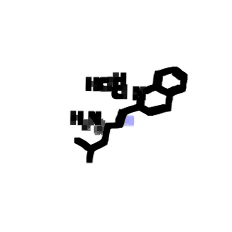 CC(C)C[C@H](N)/C=C/c1ccc2ccccc2n1.Cl.Cl